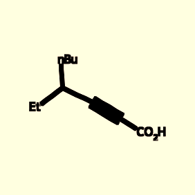 CCCCC(C#CC(=O)O)CC